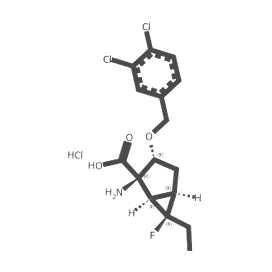 CC[C@@]1(F)[C@@H]2C[C@@H](OCc3ccc(Cl)c(Cl)c3)[C@@](N)(C(=O)O)[C@@H]21.Cl